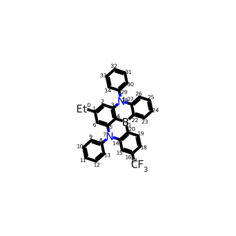 CCc1cc2c3c(c1)N(c1ccccc1)c1cc(C(F)(F)F)ccc1B3c1ccccc1N2c1ccccc1